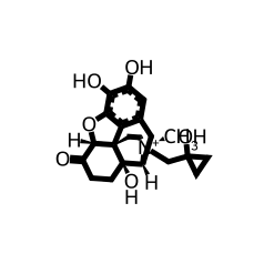 C[N@+]1(CC2(O)CC2)CC[C@]23c4c5cc(O)c(O)c4O[C@H]2C(=O)CC[C@@]3(O)[C@H]1C5